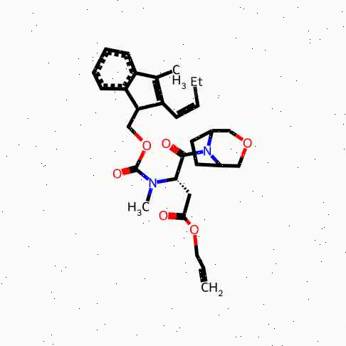 C=CCOC(=O)C[C@@H](C(=O)N1C2CCC1COC2)N(C)C(=O)OCC1C(/C=C\CC)=C(C)c2ccccc21